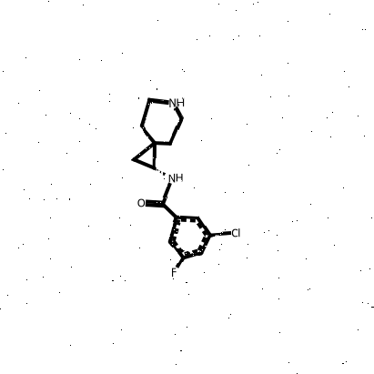 O=C(N[C@@H]1CC12CCNCC2)c1cc(F)cc(Cl)c1